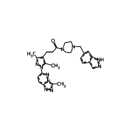 Cc1nn(-c2ccc3nnc(C)n3n2)c(C)c1CCC(=O)N1CCN(Cc2ccc3cn[nH]c3c2)CC1